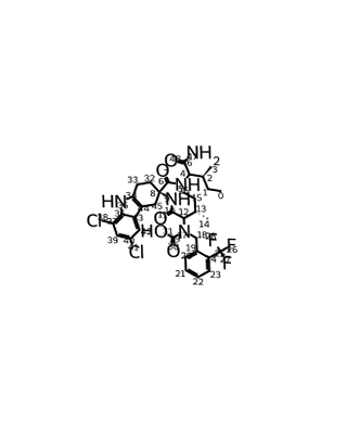 CC[C@H](C)C(NC(=O)[C@@]1(NC(=O)C([C@@H](C)CC)N(Cc2ccccc2C(F)(F)F)C(=O)O)CCc2[nH]c3c(Cl)cc(Cl)cc3c2C1)C(N)=O